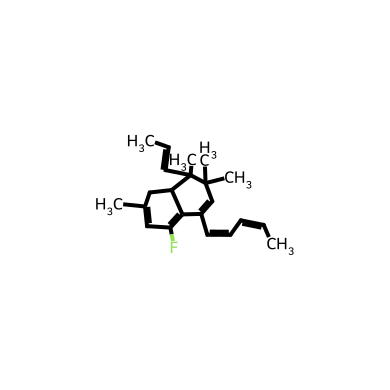 CC=CC1(C)C2CC(C)=CC(F)=C2C(/C=C\C=C/C)=CC1(C)C